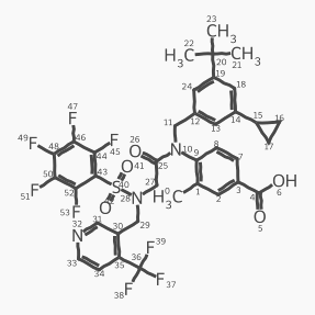 Cc1cc(C(=O)O)ccc1N(Cc1cc(C2CC2)cc(C(C)(C)C)c1)C(=O)CN(Cc1cnccc1C(F)(F)F)S(=O)(=O)c1c(F)c(F)c(F)c(F)c1F